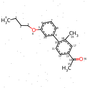 CCCCOc1cccc(-c2ccc(C(C)=O)cc2C)c1